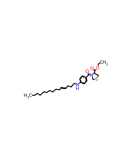 CCCCCCCCCC/C=C/CCCNc1ccc(C(=O)N2CSCC2C(=O)OCC)cc1